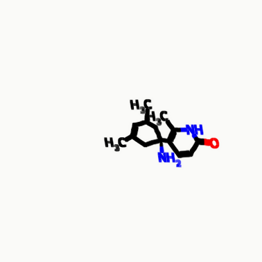 CC1=CC(C)C[C@](N)(c2ccc(=O)[nH]c2C)C1